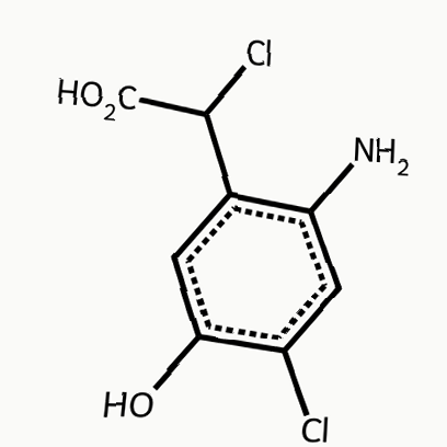 Nc1cc(Cl)c(O)cc1C(Cl)C(=O)O